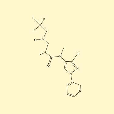 CC(C[S+]([O-])CC(F)(F)F)C(=O)N(C)c1cn(-c2cccnc2)nc1Cl